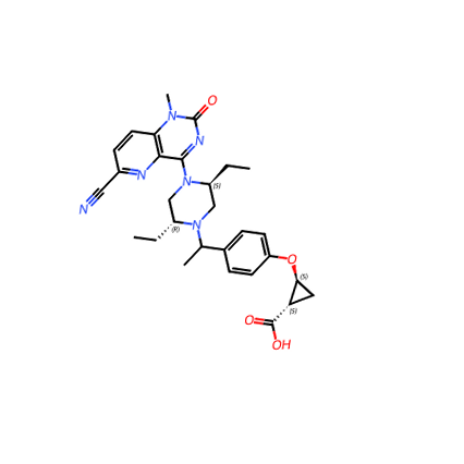 CC[C@H]1CN(C(C)c2ccc(O[C@H]3C[C@@H]3C(=O)O)cc2)[C@H](CC)CN1c1nc(=O)n(C)c2ccc(C#N)nc12